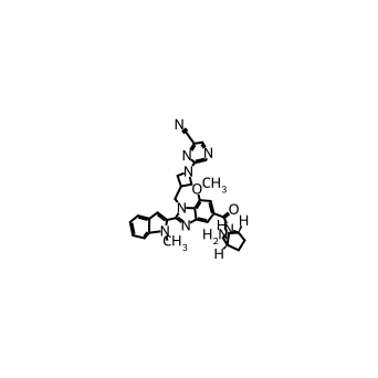 COc1cc(C(=O)N2C[C@H]3CC[C@@H]2[C@@H]3N)cc2nc(-c3cc4ccccc4n3C)n(CC3CN(c4cncc(C#N)n4)C3)c12